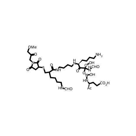 COCC(=O)CN1C(=O)CC(SCC(CCCCNC=O)C(=O)NCCCCN[C@@H](CCCCN)C(=O)C(NC=O)(OO)ON(O)N[C@@H](CCC(=O)O)C(C)=O)C1=O